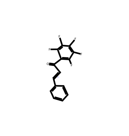 O=C(/C=C/c1ccccc1)c1c(F)c(F)c(F)c(F)c1F